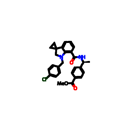 COC(=O)c1ccc([C@H](C)NC(=O)c2cccc3c2N(Cc2ccc(Cl)cc2)CC32CC2)cc1